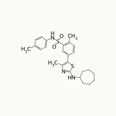 Cc1ccc(NS(=O)(=O)c2cc(-c3sc(NC4CCCCCC4)nc3C)ccc2C)cc1